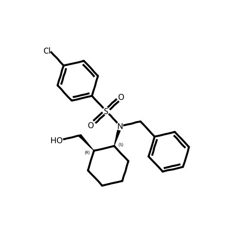 O=S(=O)(c1ccc(Cl)cc1)N(Cc1ccccc1)[C@H]1CCCC[C@H]1CO